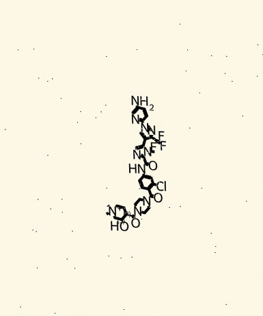 Cn1c(-c2cn(-c3ccc(N)cn3)nc2C(F)(F)F)cnc1C(=O)Nc1ccc(C(=O)N2CCN(C(=O)[C@@H]3CC[N+](C)(C)C[C@H]3O)CC2)c(Cl)c1